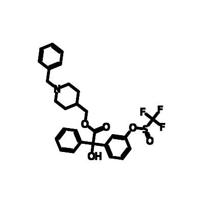 O=C(OCC1CCN(Cc2ccccc2)CC1)C(O)(c1ccccc1)c1cccc(OS(=O)C(F)(F)F)c1